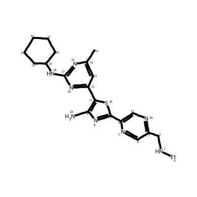 CCNCc1cnc(-c2nc(N)c(-c3cc(C)nc(NC4CCCCC4)n3)s2)cn1